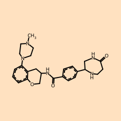 CN1CCN(c2cccc3c2CC(NC(=O)c2ccc(C4CNC(=O)CCN4)cc2)CO3)CC1